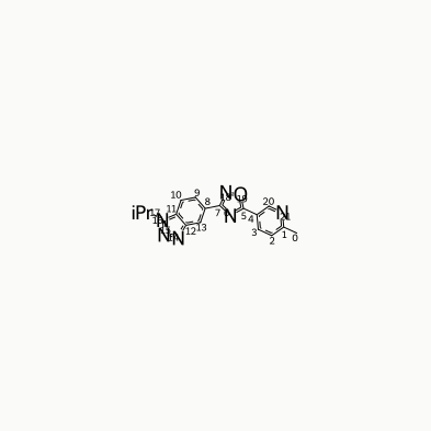 Cc1ccc(-c2nc(-c3ccc4c(c3)nnn4C(C)C)no2)cn1